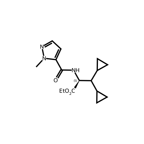 CCOC(=O)[C@@H](NC(=O)c1ccnn1C)C(C1CC1)C1CC1